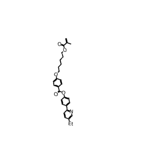 C=C(C)C(=O)OCCCCCCOc1ccc(C(=O)Oc2ccc(-c3ccc(CC)cn3)cc2)cc1